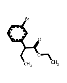 CCOC(=O)C(CC)c1cccc(Br)c1